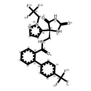 O=C1NC(=O)[C@@](CNC(=O)c2ccccc2-c2ccc(C(F)(F)F)cc2)(c2ccnn2CC(F)(F)F)N1